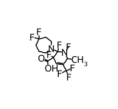 CC1C(C(F)(F)F)=CC(F)(C(=O)O)C(F)(N2CCCC(F)(F)CC2)N1F